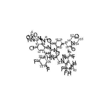 Cn1nc(NS(C)(=O)=O)c2c(Cl)ccc(-n3c([C@H](Cc4cc(F)cc(F)c4)NC(=O)Cn4nc(C(F)F)c5c4C(F)(F)[C@@H]4C[C@H]54)nc4cc(CCC(=O)N5CCOCC5)ccc4c3=O)c21